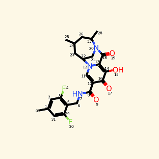 Cc1cc(F)c(CNC(=O)c2cn3c(c(O)c2=O)C(=O)N2CC3CC(C)CC2C)c(F)c1